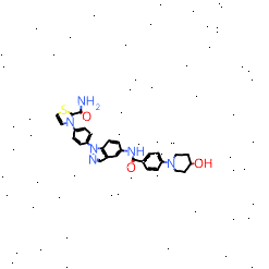 NC(=O)C1SC=CN1c1ccc(-n2ncc3cc(NC(=O)c4ccc(N5CCC(O)CC5)cc4)ccc32)cc1